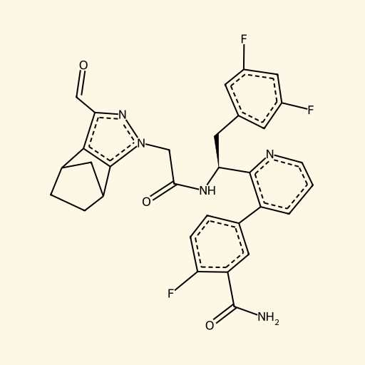 NC(=O)c1cc(-c2cccnc2[C@H](Cc2cc(F)cc(F)c2)NC(=O)Cn2nc(C=O)c3c2C2CCC3C2)ccc1F